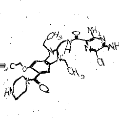 CCOc1cc2c(cc1C(=O)N1CCNCC1)[n+](CC)c(CNC(=O)c1nc(Cl)c(N)nc1N)n2CC